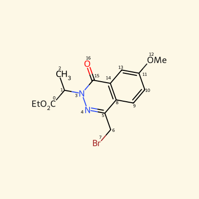 CCOC(=O)C(C)n1nc(CBr)c2ccc(OC)cc2c1=O